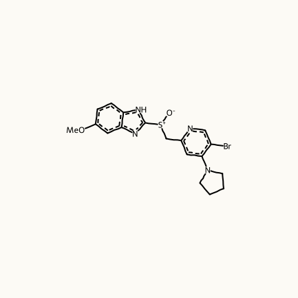 COc1ccc2[nH]c([S+]([O-])Cc3cc(N4CCCC4)c(Br)cn3)nc2c1